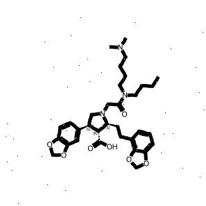 CCCCN(CCCCN(C)C)C(=O)CN1C[C@H](c2ccc3c(c2)OCO3)[C@@H](C(=O)O)[C@@H]1CCc1cccc2c1OCO2